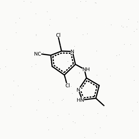 Cc1cc(Nc2nc(Cl)c(C#N)cc2Cl)n[nH]1